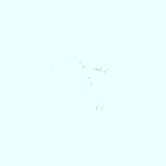 O=[N+]([O-])[C@@H]1CN(Cc2ccccc2)C[C@@H]1c1ccc(Cl)cc1